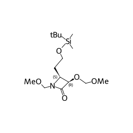 COCO[C@H]1C(=O)N(COC)[C@H]1CCO[Si](C)(C)C(C)(C)C